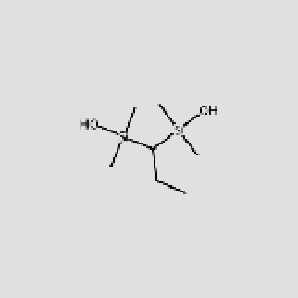 CC[C]([Si](C)(C)O)[Si](C)(C)O